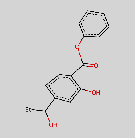 CCC(O)c1ccc(C(=O)Oc2ccccc2)c(O)c1